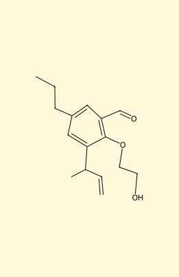 C=CC(C)c1cc(CCC)cc(C=O)c1OCCO